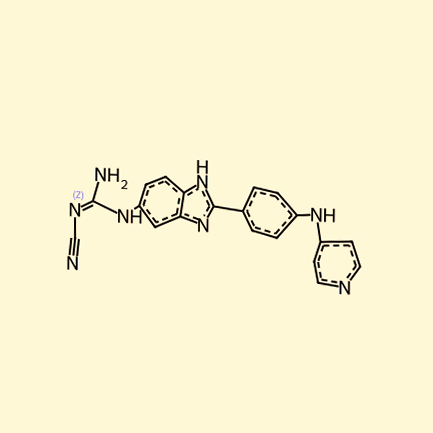 N#C/N=C(/N)Nc1ccc2[nH]c(-c3ccc(Nc4ccncc4)cc3)nc2c1